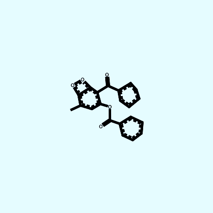 Cc1cc(OC(=O)c2ccccc2)c(C(=O)c2ccccc2)c2ooc12